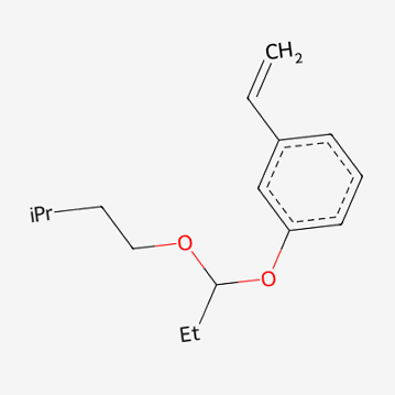 C=Cc1cccc(OC(CC)OCCC(C)C)c1